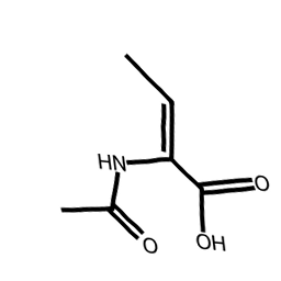 C/C=C(\NC(C)=O)C(=O)O